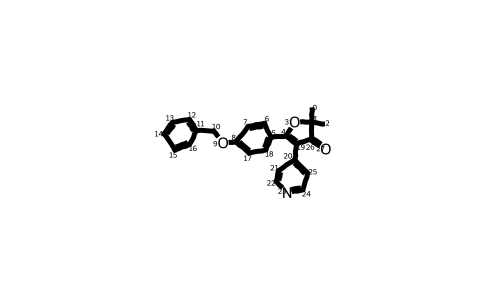 CC1(C)OC(c2ccc(OCc3ccccc3)cc2)=C(c2ccncc2)C1=O